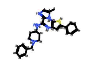 Cc1cnc2c(NC3CCN(Cc4ccccc4)CC3)nc3cc(-c4ccccc4)sc3n12